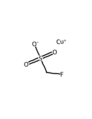 O=S(=O)([O-])CF.[Cu+]